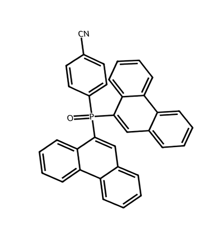 N#Cc1ccc(P(=O)(c2cc3ccccc3c3ccccc23)c2cc3ccccc3c3ccccc23)cc1